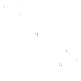 C=C(C)CNCCOC(=O)NCc1ccc(Cn2c(C3CCOC3)nc3c(N)nc4ccccc4c32)cc1